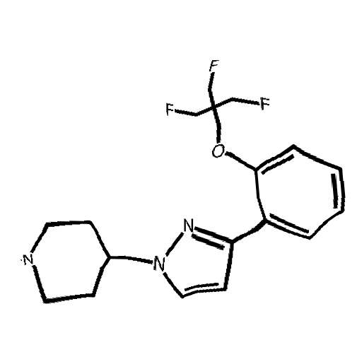 FC(F)(F)Oc1ccccc1-c1ccn(C2CC[N]CC2)n1